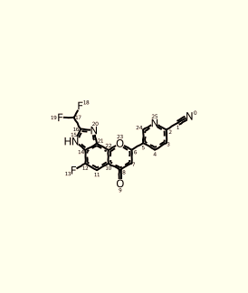 N#Cc1ccc(-c2cc(=O)c3cc(F)c4[nH]c(C(F)F)nc4c3o2)cn1